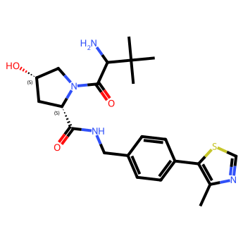 Cc1ncsc1-c1ccc(CNC(=O)[C@@H]2C[C@H](O)CN2C(=O)C(N)C(C)(C)C)cc1